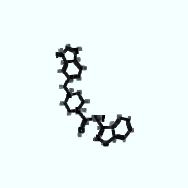 O=C(Nc1noc2ccccc12)N1CCN(Cc2ccc3nc[nH]c3c2)CC1